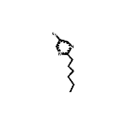 CCCCCCc1ncc(Br)cn1